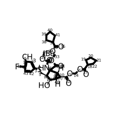 Cc1cc(SC[C@@H]2[C@@H](O)[C@H]3[C@H](C(=O)OCOC(=O)C4CCCC4)[C@H]3[C@]2(NC(=O)OC(C)(C)C)C(=O)OCOC(=O)C2CCCC2)ccc1F